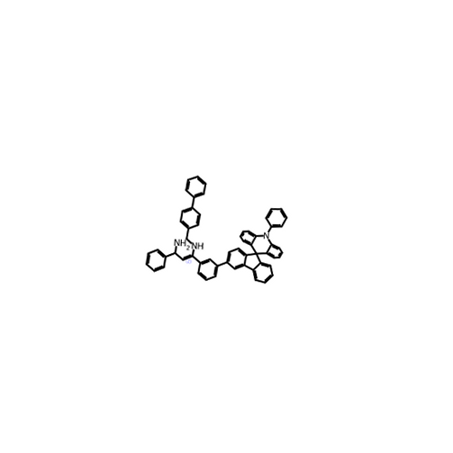 NC(/C=C(\NCc1ccc(-c2ccccc2)cc1)c1cccc(-c2ccc3c(c2)-c2ccccc2C32c3ccccc3N(c3ccccc3)c3ccccc32)c1)c1ccccc1